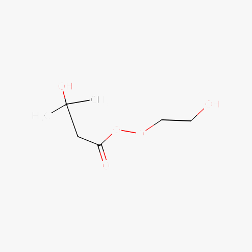 CC(C)(O)CC(=O)OOCCO